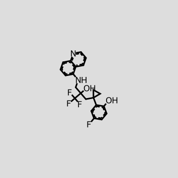 Oc1ccc(F)cc1C1(CC(O)(CNc2cccc3ncccc23)C(F)(F)F)CC1